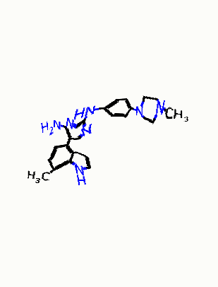 Cc1ccc(-c2cnc(Nc3ccc(N4CCN(C)CC4)cc3)nc2N)c2cc[nH]c12